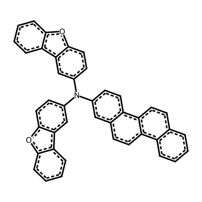 c1ccc2c(c1)ccc1c3ccc(N(c4ccc5oc6ccccc6c5c4)c4ccc5oc6ccccc6c5c4)cc3ccc21